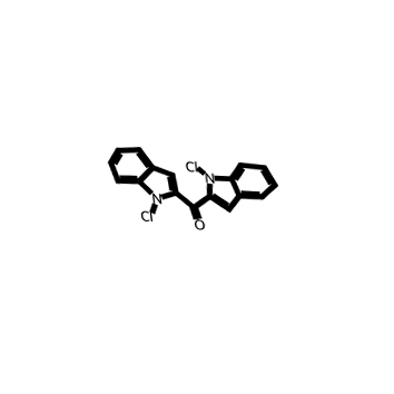 O=C(c1cc2ccccc2n1Cl)c1cc2ccccc2n1Cl